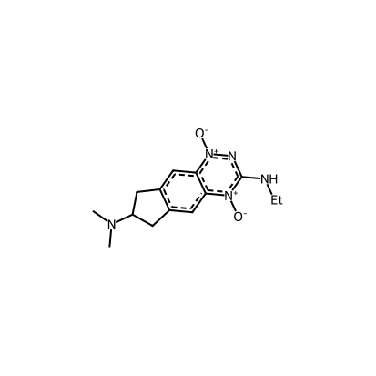 CCNc1n[n+]([O-])c2cc3c(cc2[n+]1[O-])CC(N(C)C)C3